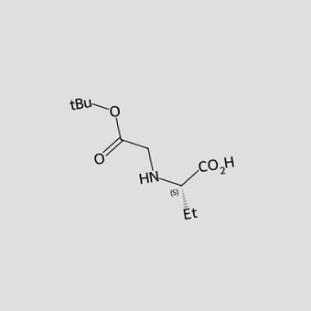 CC[C@H](NCC(=O)OC(C)(C)C)C(=O)O